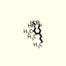 CCCCC(CCCC)C(C)C(C)CNC